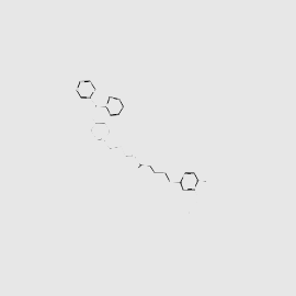 COc1cc(C=CC=CC(=O)NCCCN2CCC(OC(c3ccccc3)c3ccccc3)CC2)ccc1O